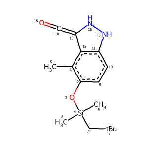 Cc1c(O[Si](C)(C)CC(C)(C)C)ccc2c1C(=C=O)NN2